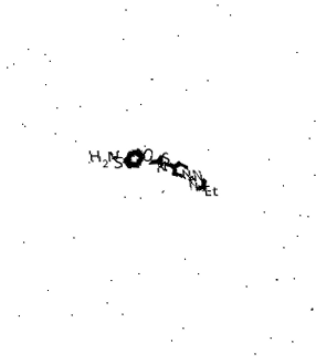 CCc1cnc(N2CCC(c3nc(COc4ccc(SN)cc4)cs3)CC2)nc1